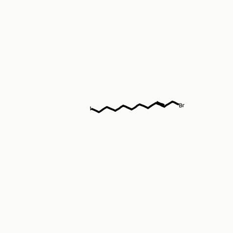 BrCC=CCCCCCCCI